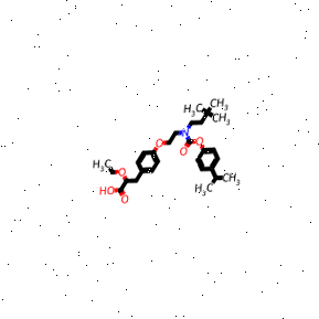 CCOC(Cc1ccc(OCCN(CCC(C)(C)C)C(=O)Oc2ccc(C(C)C)cc2)cc1)C(=O)O